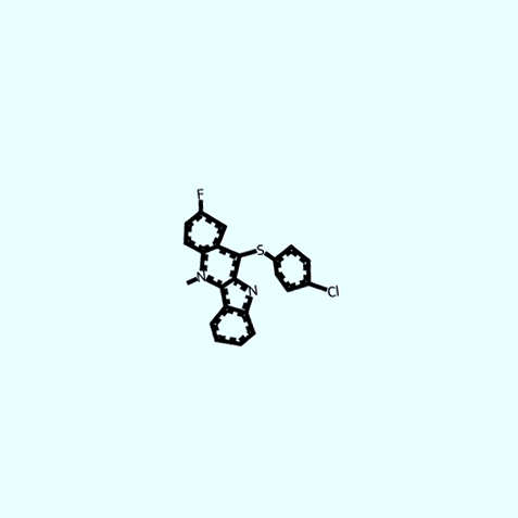 Cn1c2c3ccccc3nc-2c(Sc2ccc(Cl)cc2)c2cc(F)ccc21